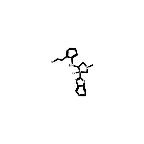 CN1CC(Nc2ccccc2CCBr)[N+]([O-])(c2nc3ccccc3s2)C1